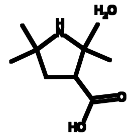 CC1(C)CC(C(=O)O)C(C)(C)N1.O